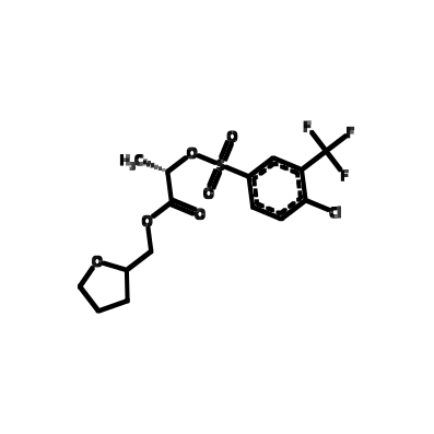 C[C@H](OS(=O)(=O)c1ccc(Cl)c(C(F)(F)F)c1)C(=O)OCC1CCCO1